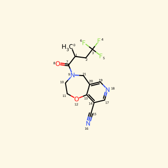 CC(CC(F)(F)F)C(=O)N1CCOc2c(C#N)cncc2C1